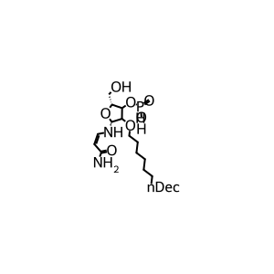 CCCCCCCCCCCCCCCCOC1C(O[PH](=O)O)[C@@H](CO)O[C@H]1N/C=C\C(N)=O